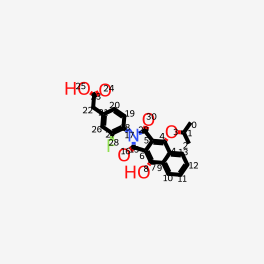 CC(C)Oc1c2c(c(O)c3ccccc13)C(=O)N(c1ccc(CC(=O)O)cc1F)C2=O